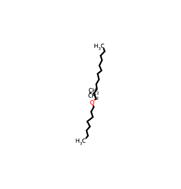 C=C.CCCCCCCCCCCCOCCCCCCCC